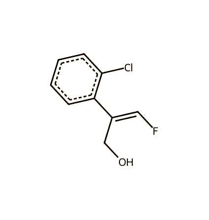 OCC(=CF)c1ccccc1Cl